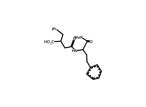 CNC(=O)C(CCc1ccccc1)NC(=O)CC(CC(C)C)C(=O)O